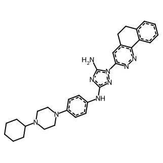 Nc1nc(Nc2ccc(N3CCN(C4CCCCC4)CC3)cc2)nn1-c1cc2c(nn1)-c1ccccc1CC2